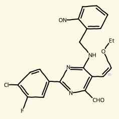 CCO/C=C\c1c(C=O)nc(-c2ccc(Cl)c(F)c2)nc1NCc1ccccc1N=O